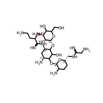 N=C(CN)NC[C@@H]1CCC(N)[C@@H](OC2C(O)C(O[C@H]3OC(CO)C(O)[C@H](N)C3O)[C@H](NC(=N)C(O)CCN)C[C@@H]2N)O1